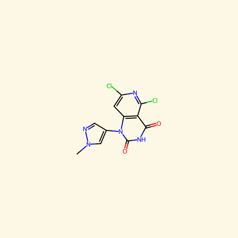 Cn1cc(-n2c(=O)[nH]c(=O)c3c(Cl)nc(Cl)cc32)cn1